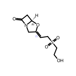 O=C1C[C@H]2O/C(=C\CS(=O)(=O)CCO)CN12